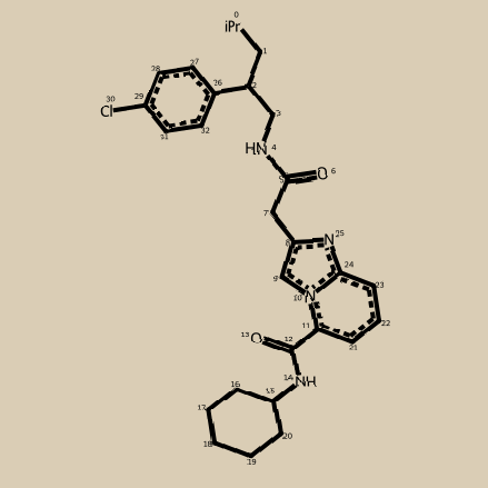 CC(C)CC(CNC(=O)Cc1cn2c(C(=O)NC3CCCCC3)cccc2n1)c1ccc(Cl)cc1